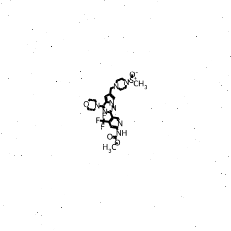 COC(=O)Nc1cc(C(F)(F)F)c(-c2nc(N3CCOCC3)c3cc(CN4CCN([S+](C)[O-])CC4)cn3n2)cn1